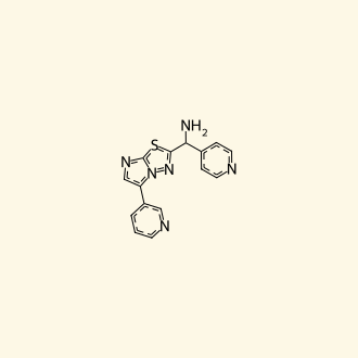 NC(c1ccncc1)c1nn2c(-c3cccnc3)cnc2s1